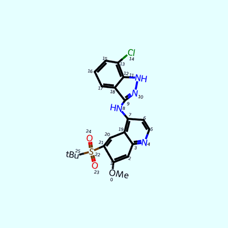 COc1cc2nccc(Nc3n[nH]c4c(Cl)cccc34)c2cc1S(=O)(=O)C(C)(C)C